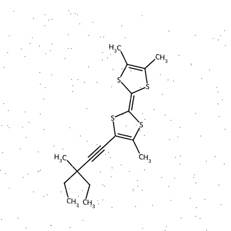 CCC(C)(C#CC1=C(C)SC(=C2SC(C)=C(C)S2)S1)CC